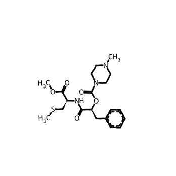 COC(=O)[C@H](CSC)NC(=O)[C@H](Cc1ccccc1)OC(=O)N1CCN(C)CC1